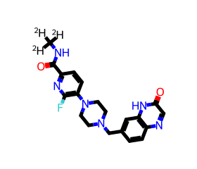 [2H]C([2H])([2H])NC(=O)c1ccc(N2CCN(Cc3ccc4ncc(=O)[nH]c4c3)CC2)c(F)n1